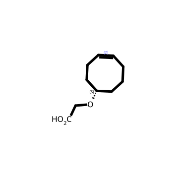 O=C(O)CO[C@@H]1CC/C=C\CCC1